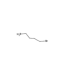 BCCCCBr